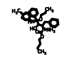 CCCCOC(=O)N(N)C(Cc1ccccc1)C(O)C(Nc1ccc(C)cc1)(OCCC)c1ccccc1